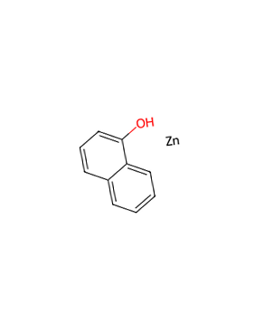 Oc1cccc2ccccc12.[Zn]